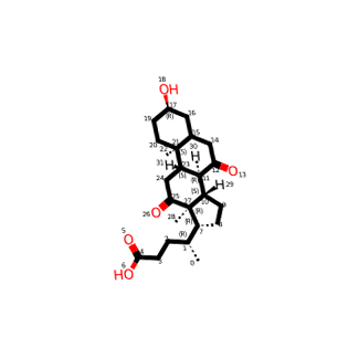 C[C@H](CCC(=O)O)[C@H]1CC[C@H]2[C@@H]3C(=O)CC4C[C@H](O)CC[C@]4(C)[C@H]3CC(=O)[C@]12C